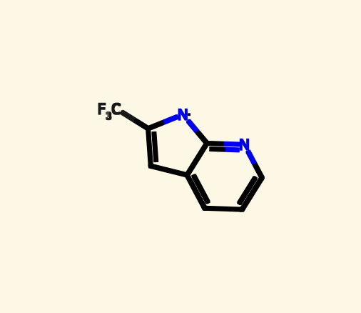 FC(F)(F)C1=Cc2cccnc2[N]1